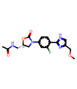 COCc1c[nH]c(-c2ccc(N3C[C@H](CNC(C)=O)OC3=O)cc2F)n1